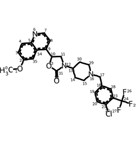 COc1ccc2nccc(C3CN(C4CCN(Cc5ccc(Cl)c(C(F)(F)F)c5)CC4)C(=O)O3)c2c1